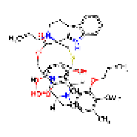 C=CCOc1c(OC)c(C)cc2c1[C@@H]1C3[C@@H]4SC[C@]5(C(=O)OC[C@@H](c6c7c(c(C)c(O)c64)OCO7)N3[C@@H](O)[C@H](C2)N1C)c1[nH]c2ccccc2c1CCN5CC=C